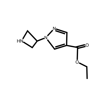 CCOC(=O)c1cnn(C2CNC2)c1